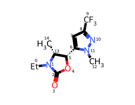 CCN1C(=O)O[C@@H](c2cc(C(F)(F)F)nn2C)[C@H]1C